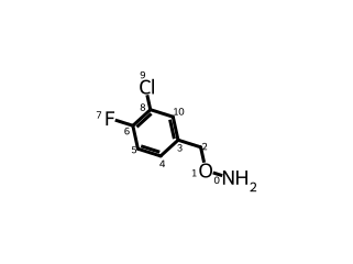 NOCc1ccc(F)c(Cl)c1